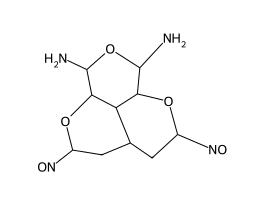 NC1OC(N)C2OC(N=O)CC3CC(N=O)OC1C32